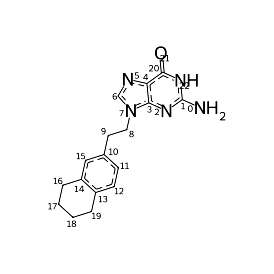 Nc1nc2c(ncn2CCc2ccc3c(c2)CCCC3)c(=O)[nH]1